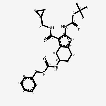 CC(C)(C)OC(=O)Nc1sc2c(c1C(=O)NCC1CC1)CC(NC(=O)OCc1ccccc1)CC2